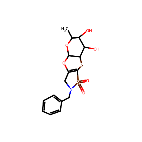 CC1OC2OC3=C(SC2C(O)C1O)S(=O)(=O)N(Cc1ccccc1)C3